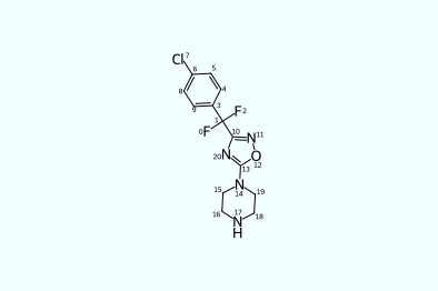 FC(F)(c1ccc(Cl)cc1)c1noc(N2CCNCC2)n1